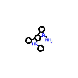 NCn1c2ccccc2c2cc(-c3ccccc3)c(Nc3ccccc3)cc21